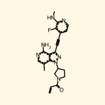 C=CC(=O)N1CCC(n2nc(C#Cc3ccnc(NC)c3F)c3c(N)ncc(C)c32)C1